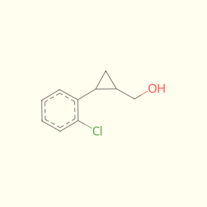 OCC1CC1c1ccccc1Cl